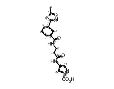 Cc1nc(-c2cccc(C(=O)NCCC(=O)Nc3cnn(C(=O)O)c3)c2)no1